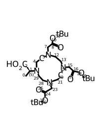 C[C@@H](C(=O)O)N1CCN(CC(=O)OC(C)(C)C)CCN(CC(=O)OC(C)(C)C)CCN(CC(=O)OC(C)(C)C)CC1